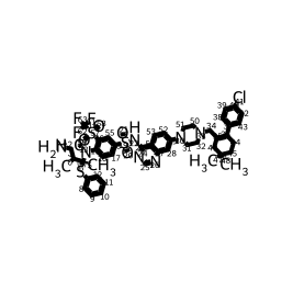 CC(CN)[C@@](C)(Sc1ccccc1)N(C)c1ccc(S(=O)(=O)Nc2ncnc3cc(N4CCN(CC5=C(c6ccc(Cl)cc6)CCC(C)(C)C5)CC4)ccc23)cc1S(=O)(=O)C(F)(F)F